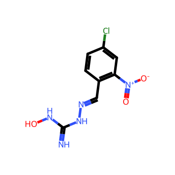 N=C(NO)NN=Cc1ccc(Cl)cc1[N+](=O)[O-]